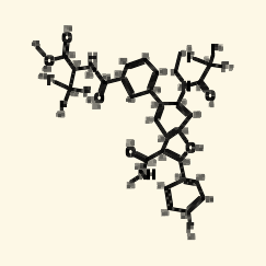 CCN(C(=O)C(F)(F)F)c1cc2oc(-c3ccc(F)cc3)c(C(=O)NC)c2cc1-c1cccc(C(=O)NC(C(=O)OC)C(F)(F)F)c1